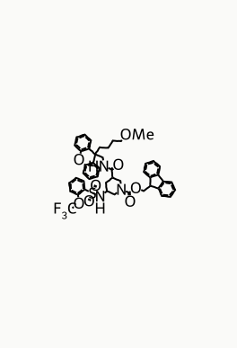 COCCCCC1(CNC(=O)C2CC(NS(=O)(=O)c3ccccc3OC(F)(F)F)CN(C(=O)OCC3c4ccccc4-c4ccccc43)C2)c2ccccc2Oc2ccccc21